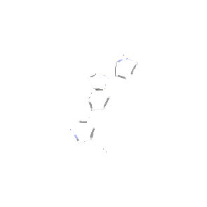 N#Cc1cncc(-c2ccc3c(ccn3-c3cccnc3)c2)c1